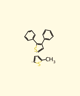 Cc1cc[c]s1.[c]1cc(-c2ccccc2)c(-c2ccccc2)s1